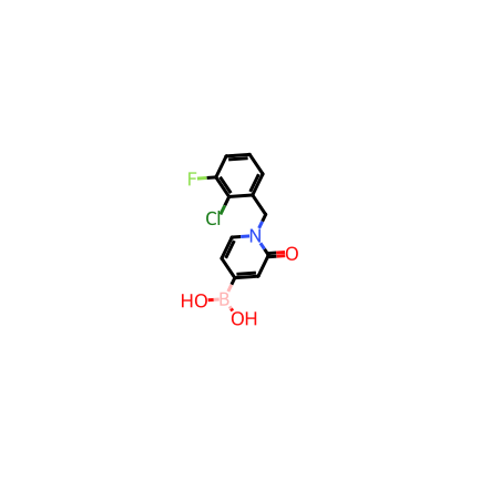 O=c1cc(B(O)O)ccn1Cc1cccc(F)c1Cl